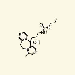 CCCOC(=O)NCCCC1(O)c2ccccc2CCc2c(C)cccc21